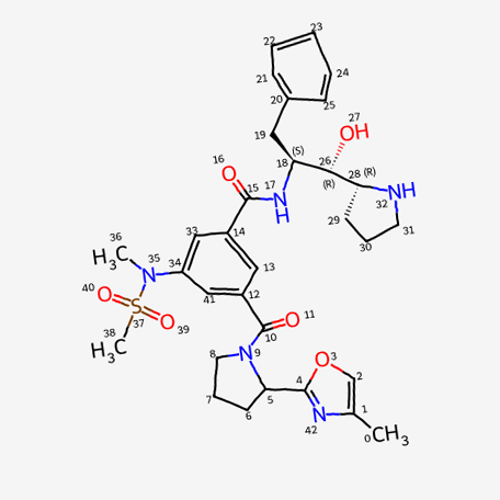 Cc1coc(C2CCCN2C(=O)c2cc(C(=O)N[C@@H](Cc3ccccc3)[C@H](O)[C@H]3CCCN3)cc(N(C)S(C)(=O)=O)c2)n1